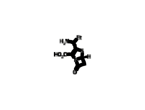 CCC(N)C1=C(C(=O)O)N2C(=O)C[C@H]2S1